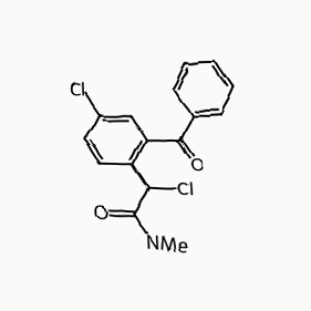 CNC(=O)C(Cl)c1ccc(Cl)cc1C(=O)c1ccccc1